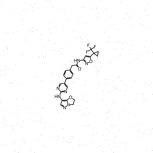 O=C(Cc1ccc(-c2cnc(Nc3cnn4c3OCC4)nc2)cc1)Nc1cc(C2(C(F)(F)F)CC2)on1